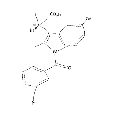 CC[C@@](C)(C(=O)O)c1c(C)n(C(=O)c2cccc(F)c2)c2ccc(O)cc12